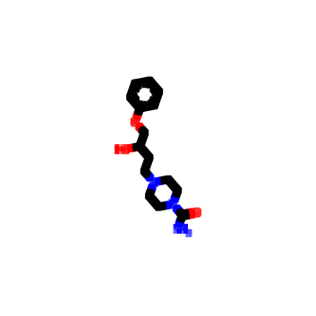 NC(=O)N1CCN(CCC(O)COc2ccccc2)CC1